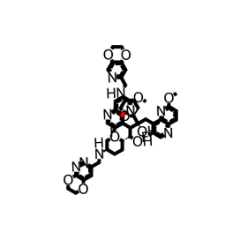 COc1ccc2ncc(F)c(C[C@@](O)(C(c3c(F)cnc4ccc(OC)nc34)C(O)[C@@H]3CC[C@@H](NCc4cc5c(nn4)OCCO5)CO3)[C@@H]3CC[C@@H](NCc4cc5c(cn4)OCCO5)CO3)c2n1